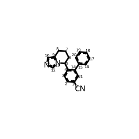 N#Cc1ccc(C2CCCc3cncn32)c(-c2ccccc2)c1